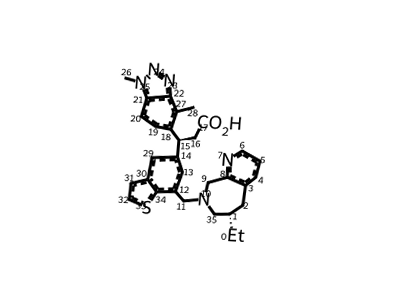 CC[C@H]1Cc2cccnc2CN(Cc2cc([C@H](CC(=O)O)c3ccc4c(nnn4C)c3C)cc3ccsc23)C1